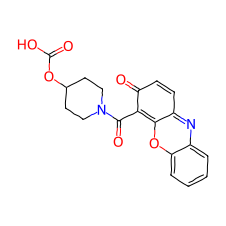 O=C(O)OC1CCN(C(=O)c2c3oc4ccccc4nc-3ccc2=O)CC1